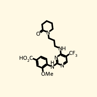 COc1cc(C(=O)O)ccc1Nc1ncc(C(F)(F)F)c(NCCCN2CCCCC2=O)n1